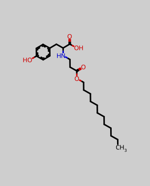 CCCCCCCCCCCCOC(=O)CCNC(Cc1ccc(O)cc1)C(=O)O